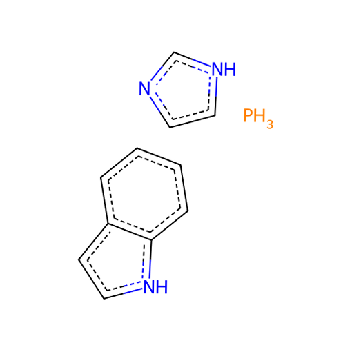 P.c1c[nH]cn1.c1ccc2[nH]ccc2c1